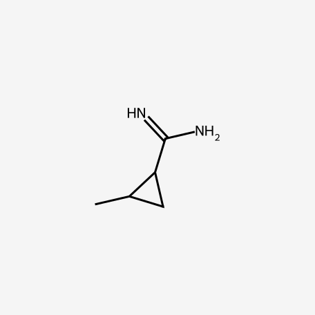 CC1CC1C(=N)N